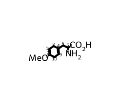 COC1=CCC(CC(N)C(=O)O)=CC1